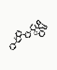 c1ccc(-c2ccc3c(-c4cccc(-c5cccc6c5Oc5ccccc5C65c6ccccc6-c6ccccc65)c4)cccc3n2)cc1